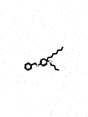 CCCCCCCC1(OCCCC)C=CC(N=Cc2ccccc2)=CC1